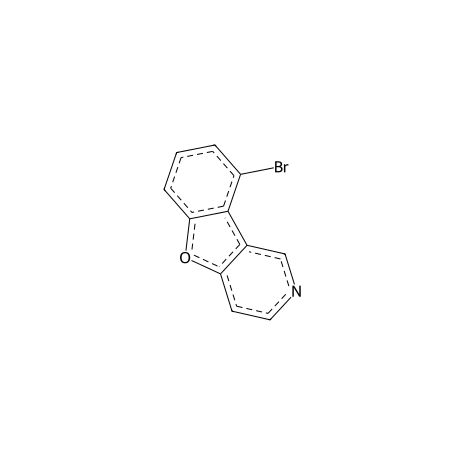 Brc1cccc2oc3ccncc3c12